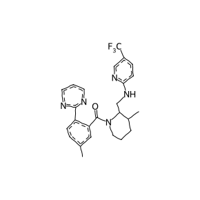 Cc1ccc(-c2ncccn2)c(C(=O)N2CCCC(C)C2CNc2ccc(C(F)(F)F)cn2)c1